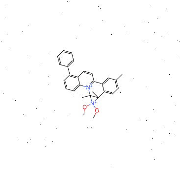 CO[N+]1(OC)C2(C)c3ccc(C)cc3-c3ccc4c(-c5ccccc5)cccc4[n+]3C21C